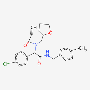 C#CC(=O)N(CC1CCCO1)C(C(=O)NCc1ccc(C)cc1)c1ccc(Cl)cc1